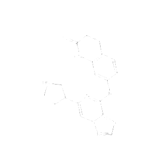 O=C1CCc2ccc(Nc3nc(C4CCNC4)cn4ncnc34)cc2N1